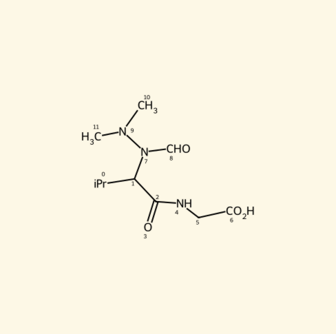 CC(C)C(C(=O)NCC(=O)O)N(C=O)N(C)C